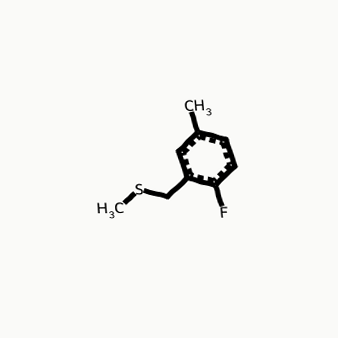 CSCc1cc(C)ccc1F